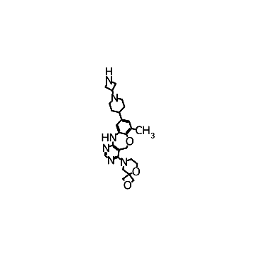 Cc1cc(C2CCN(C3CNC3)CC2)cc2c1OCc1c(ncnc1N1CCOC3(COC3)C1)N2